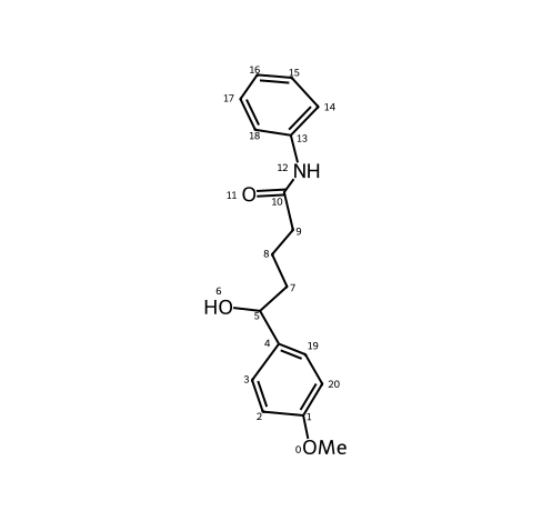 COc1ccc(C(O)CCCC(=O)Nc2ccccc2)cc1